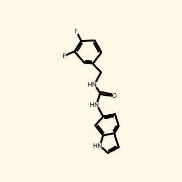 O=C(NCc1ccc(F)c(F)c1)Nc1ccc2cc[nH]c2c1